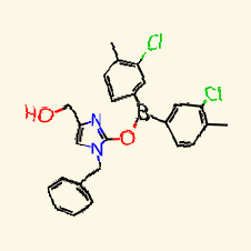 Cc1ccc(B(Oc2nc(CO)cn2Cc2ccccc2)c2ccc(C)c(Cl)c2)cc1Cl